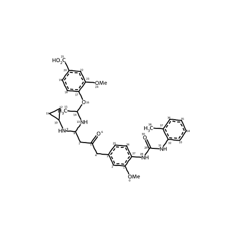 COc1cc(CC(=O)CC(NC2CC2)NC(C)Oc2ccc(C(=O)O)cc2OC)ccc1NC(=O)Nc1ccccc1C